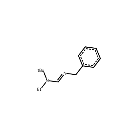 CCN(C=NCc1ccccc1)C(C)(C)C